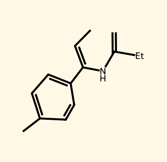 C=C(CC)N/C(=C\C)c1ccc(C)cc1